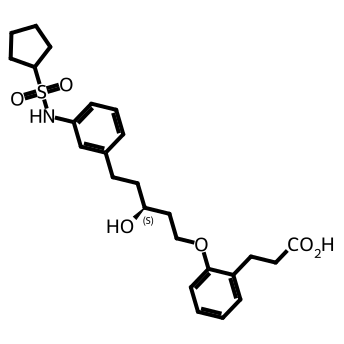 O=C(O)CCc1ccccc1OCC[C@@H](O)CCc1cccc(NS(=O)(=O)C2CCCC2)c1